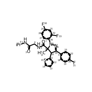 CC(C)NC(=O)CNC(=O)C1(C)C(c2cccs2)C(c2ccc(F)cc2)=NN1c1ccc(F)cc1F